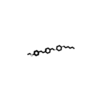 CCCCCC[C@H]1CC[C@H](CCC2CC=C(CCc3ccc(OCC)cc3)CC2)CC1